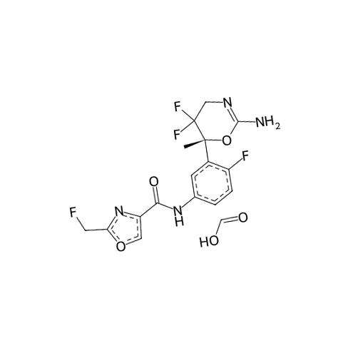 C[C@]1(c2cc(NC(=O)c3coc(CF)n3)ccc2F)OC(N)=NCC1(F)F.O=CO